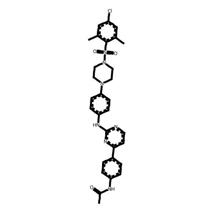 CC(=O)Nc1ccc(-c2ccnc(Nc3ccc(N4CCN(S(=O)(=O)c5c(C)cc(Cl)cc5C)CC4)cc3)n2)cc1